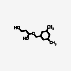 CC1CC(C)CC(COC(O)CCO)C1